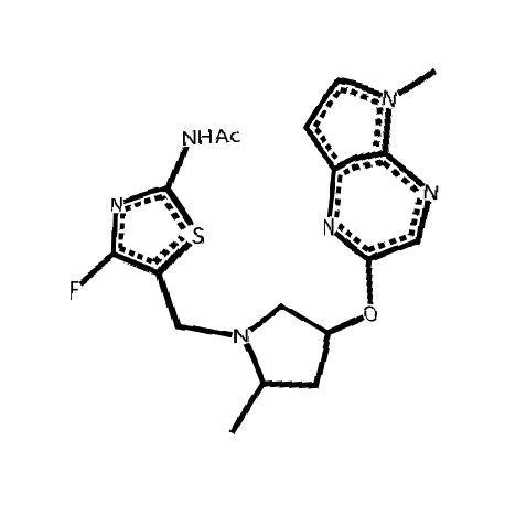 CC(=O)Nc1nc(F)c(CN2CC(Oc3cnc4c(ccn4C)n3)CC2C)s1